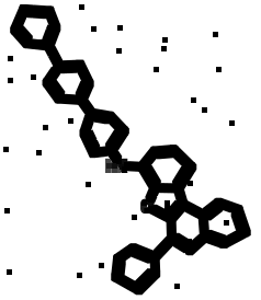 c1ccc(-c2ccc(-c3ccc(Nc4cccc5c4oc4c(-c6ccccc6)cc6ccccc6c45)cc3)cc2)cc1